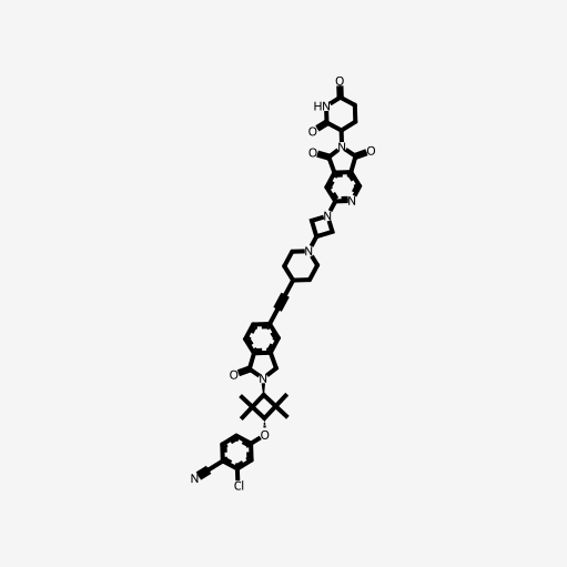 CC1(C)[C@H](Oc2ccc(C#N)c(Cl)c2)C(C)(C)[C@H]1N1Cc2cc(C#CC3CCN(C4CN(c5cc6c(cn5)C(=O)N(C5CCC(=O)NC5=O)C6=O)C4)CC3)ccc2C1=O